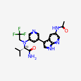 CC(=O)Nc1cnc2[nH]cc(-c3cncc(N(CC(F)(F)F)[C@H](C(N)=O)C(C)C)c3)c2c1